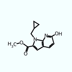 COC(=O)c1cc2ccc(O)nc2n1CC1CC1